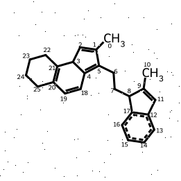 CC1=CC2C(=C1CCC1C(C)=Cc3ccccc31)C=CC1=C2CCCC1